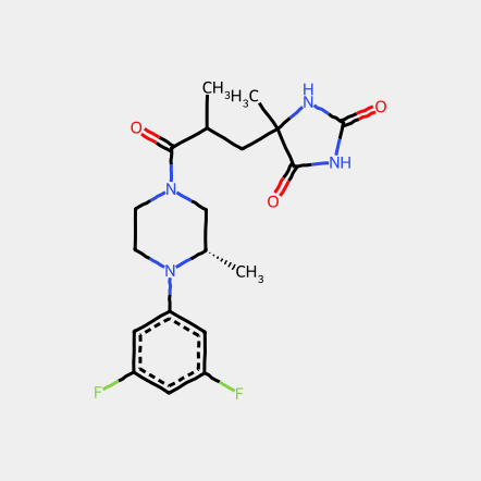 CC(CC1(C)NC(=O)NC1=O)C(=O)N1CCN(c2cc(F)cc(F)c2)[C@@H](C)C1